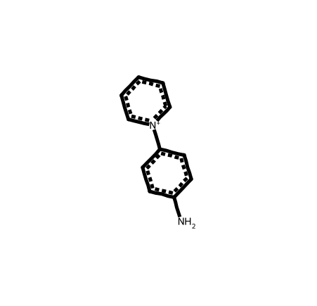 Nc1ccc(-[n+]2ccccc2)cc1